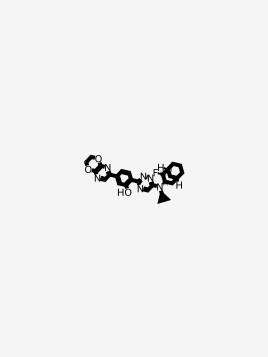 Oc1cc(-c2cnc3c(n2)OCCO3)ccc1-c1ncc(N(C2CC2)[C@@H]2C[C@H]3CCC[C@H](C3)[C@@H]2F)nn1